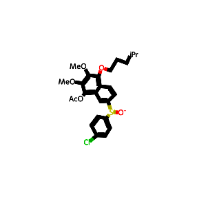 COc1c(OC)c(OC(C)=O)c2cc([S+]([O-])c3ccc(Cl)cc3)ccc2c1OCCCC(C)C